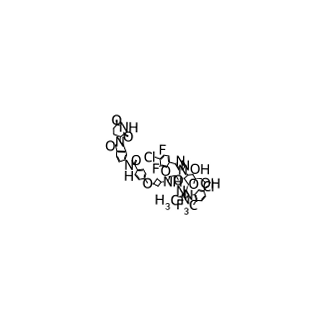 Cc1nc([C@@H]2O[C@H](CO)[C@H](O)[C@H](n3cc(-c4cc(F)c(Cl)c(F)c4)nn3)[C@H]2OCC(=O)N[C@H]2C[C@@H](Oc3ccc(C(=O)Nc4ccc5c(c4)CN(C4CCC(=O)NC4=O)C5=O)cc3)C2)n(-c2cc(Cl)ccc2C(F)(F)F)n1